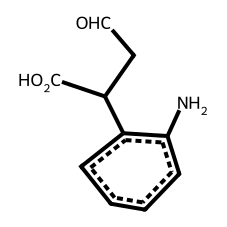 Nc1ccccc1C(CC=O)C(=O)O